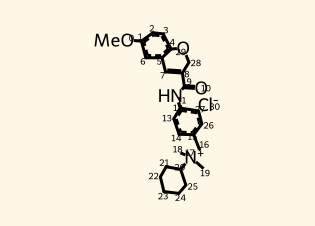 COc1ccc2c(c1)C=C(C(=O)Nc1ccc(C[N+](C)(C)C3CCCCC3)cc1)CO2.[Cl-]